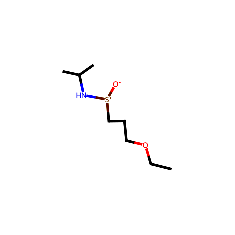 CCOCCC[S+]([O-])NC(C)C